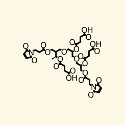 C[C@H](OC(=O)CCC(=O)O)C(COCC(COCC(COC(=O)CCN1C(=O)C=CC1=O)OC(=O)CCC(=O)O)OC(=O)CCC(=O)O)COC(=O)CCN1C(=O)C=CC1=O